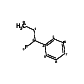 CCC(F)c1c[c]ccc1